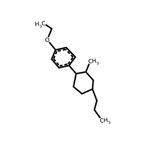 CCCC1CCC(c2ccc(OCC)cc2)C(C)C1